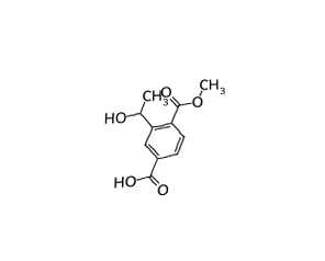 COC(=O)c1ccc(C(=O)O)cc1C(C)O